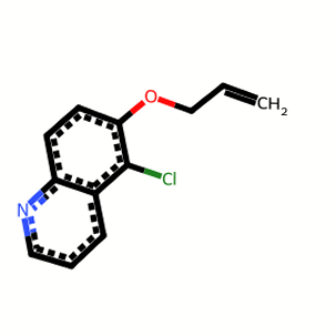 C=CCOc1ccc2ncccc2c1Cl